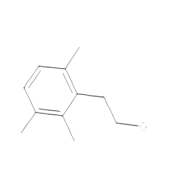 Cc1ccc(C)c(CC[O])c1C